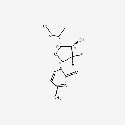 CCOC(C)[C@H]1O[C@@H](n2ccc(N)nc2=O)C(F)(F)[C@@H]1O